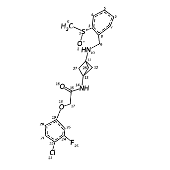 C[S+]([O-])c1ccccc1CNC12CC(NC(=O)COc3ccc(Cl)c(F)c3)(C1)C2